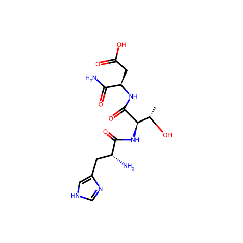 C[C@H](O)[C@@H](NC(=O)[C@H](N)Cc1c[nH]cn1)C(=O)N[C@H](CC(=O)O)C(N)=O